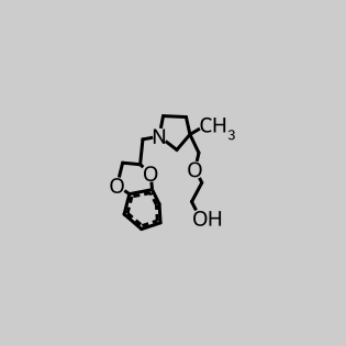 CC1(COCCO)CCN(CC2COc3ccccc3O2)C1